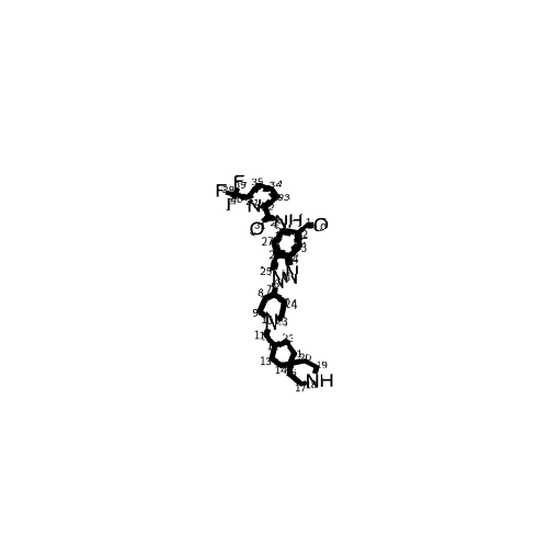 O=Cc1cc2nn(C3CCN(CC4CCC5(CCNCC5)CC4)CC3)cc2cc1NC(=O)c1cccc(C(F)(F)F)n1